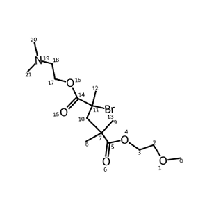 COCCOC(=O)C(C)(C)CC(C)(Br)C(=O)OCCN(C)C